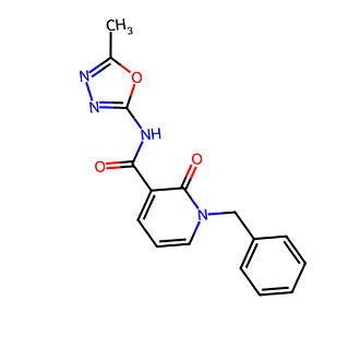 Cc1nnc(NC(=O)c2cccn(Cc3ccccc3)c2=O)o1